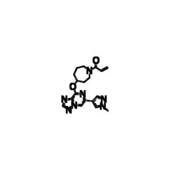 C=CC(=O)N1CCCC(Oc2nc(-c3cnn(C)c3)cn3ncnc23)CC1